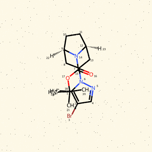 Cc1c(Br)cnn1C1C[C@H]2CC[C@@H](C1)N2C(=O)OC(C)(C)C